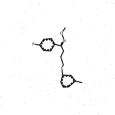 CO/N=C(/CCCSc1cccc(C)c1)c1ccc(F)cc1